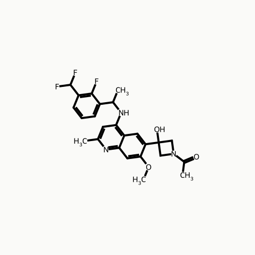 COc1cc2nc(C)cc(NC(C)c3cccc(C(F)F)c3F)c2cc1C1(O)CN(C(C)=O)C1